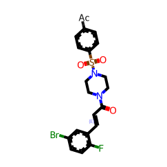 CC(=O)c1ccc(S(=O)(=O)N2CCN(C(=O)/C=C/c3cc(Br)ccc3F)CC2)cc1